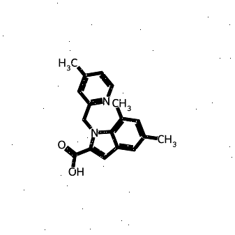 Cc1ccnc(Cn2c(C(=O)O)cc3cc(C)cc(C)c32)c1